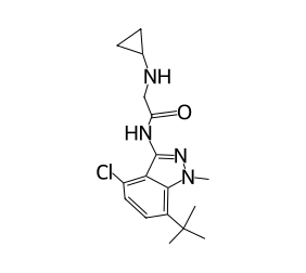 Cn1nc(NC(=O)CNC2CC2)c2c(Cl)ccc(C(C)(C)C)c21